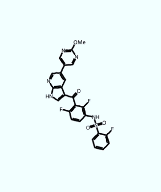 COc1ncc(-c2cnc3[nH]cc(C(=O)c4c(F)ccc(NS(=O)(=O)c5ccccc5F)c4F)c3c2)cn1